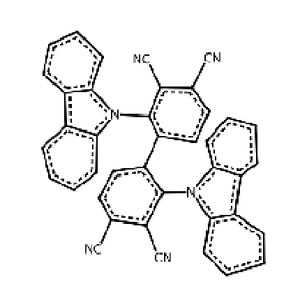 N#Cc1ccc(-c2ccc(C#N)c(C#N)c2-n2c3ccccc3c3ccccc32)c(-n2c3ccccc3c3ccccc32)c1C#N